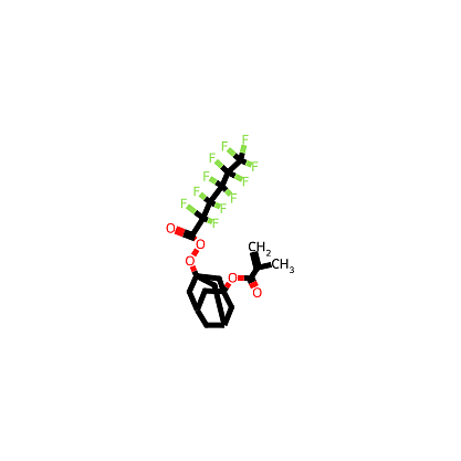 C=C(C)C(=O)OC12CC3CC(CC(OOC(=O)C(F)(F)C(F)(F)C(F)(F)C(F)(F)C(F)(F)F)(C3)C1)C2